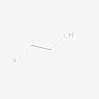 CC[CH2][Ir]